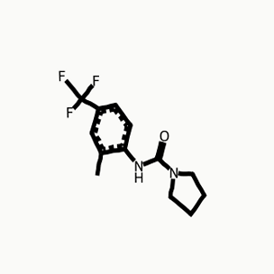 Cc1cc(C(F)(F)F)ccc1NC(=O)N1CCCC1